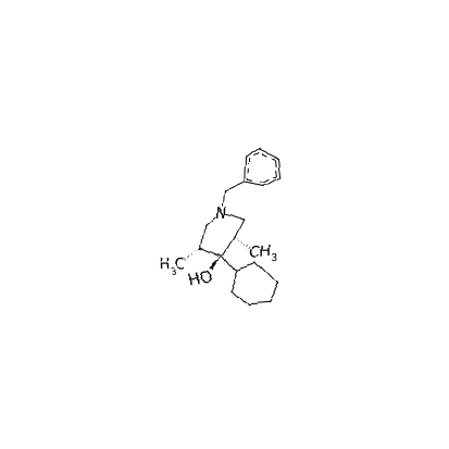 C[C@@H]1CN(Cc2ccccc2)C[C@H](C)[C@]1(O)C1CCCCC1